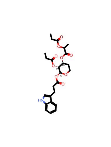 CCC(=O)OC(C)C(=O)O[C@@H]1CCO[C@@H](OC(=O)CCc2c[nH]c3ccccc23)[C@@H]1OC(=O)CC